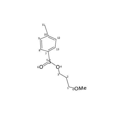 COCCCOS(=O)c1ccc(C)cc1